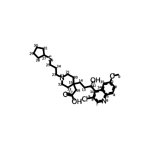 COc1ccc2ncc(Cl)c([C@@H](O)CCC3(CC(=O)O)CCN(CCCSC4CCCC4)CC3)c2c1